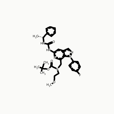 COCCN(Cc1nc(NC(=O)N[C@H](C)c2ccccc2)cc2cnn(-c3ccc(F)cc3)c12)C(=O)OC(C)(C)C